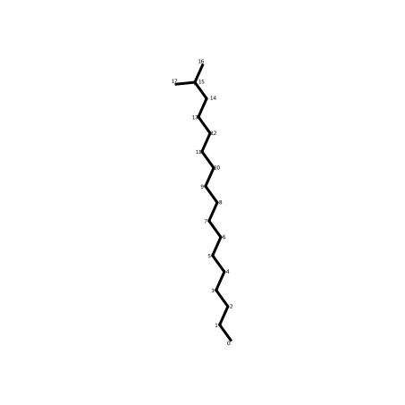 CCCCCCCCCCCCCCC[C](C)C